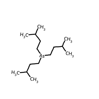 CC(C)CC[As](CCC(C)C)CCC(C)C